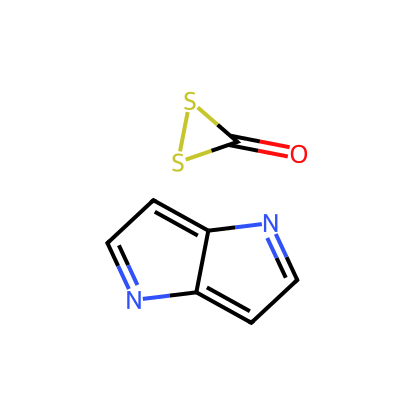 C1=NC2=CC=NC2=C1.O=C1SS1